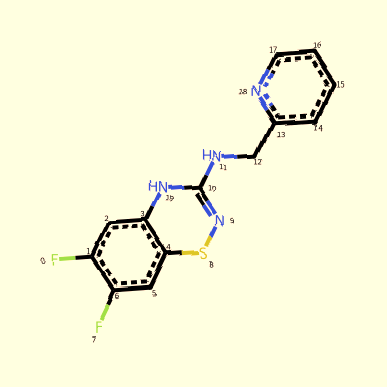 Fc1cc2c(cc1F)SN=C(NCc1ccccn1)N2